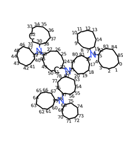 C1CCCCC(N(C2CCCCCCCC2)C2CCCCC(N(C3CCCCC(N(C4CCCCCCCC4)C4CCCCCCCC4)CCCC3)C3CCCCC(N(C4CCCCCCCC4)C4CCCCCCC4)CCC3)CCC2)CCCC1